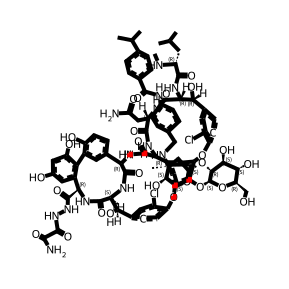 CN[C@H](CC(C)C)C(=O)N[C@H]1C(=O)N[C@@H](CC(N)=O)C(=O)N[C@H]2C(=O)N[C@H]3C(=O)N[C@H](C(=O)N[C@@H](C(=O)NNC(=O)C(N)=O)c4cc(O)cc(O)c4-c4cc3ccc4O)[C@H](O)c3ccc(c(Cl)c3)Oc3cc2cc(c3O[C@@H]2O[C@H](CO)[C@@H](O)[C@H](O)[C@H]2O[C@H]2C[C@](C)(NCc3ccc(NC(=O)c4ccc(C(C)C)cc4)cc3)[C@H](O)[C@H](C)O2)Oc2ccc(cc2Cl)[C@H]1O